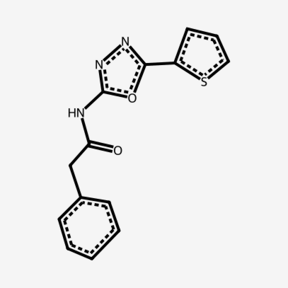 O=C(Cc1ccccc1)Nc1nnc(-c2cccs2)o1